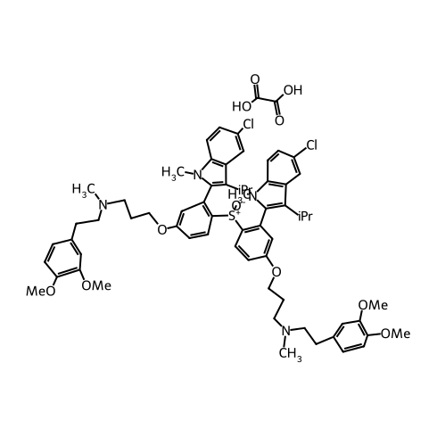 COc1ccc(CCN(C)CCCOc2ccc([S+]([O-])c3ccc(OCCCN(C)CCc4ccc(OC)c(OC)c4)cc3-c3c(C(C)C)c4cc(Cl)ccc4n3C)c(-c3c(C(C)C)c4cc(Cl)ccc4n3C)c2)cc1OC.O=C(O)C(=O)O